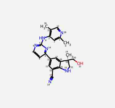 Cc1cc(Nc2nccc(-c3cc(C#N)c4c(c3)[C@@](C)(CO)CN4)n2)c(C)cn1